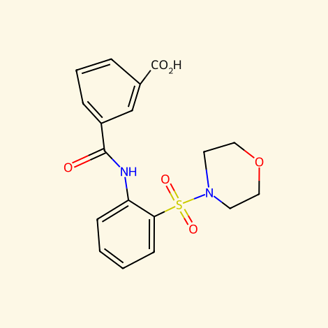 O=C(O)c1cccc(C(=O)Nc2ccccc2S(=O)(=O)N2CCOCC2)c1